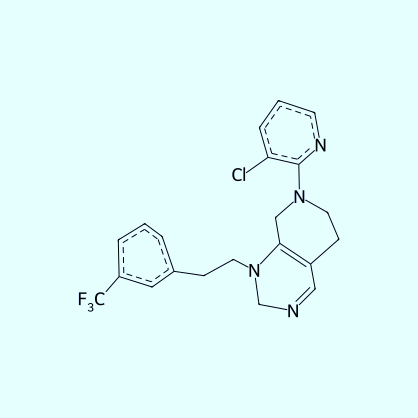 FC(F)(F)c1cccc(CCN2CN=CC3=C2CN(c2ncccc2Cl)CC3)c1